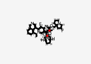 CCc1cccc2cncc(-c3ncc4c(N5C[C@H]6CC[C@@H](C5)N6C(=O)OC(C)(C)C)nc(OCC56CCCN5CC(F)C6)nc4c3F)c12